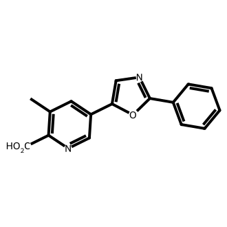 Cc1cc(-c2cnc(-c3ccccc3)o2)cnc1C(=O)O